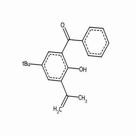 C=C(C)c1cc(C(C)(C)C)cc(C(=O)c2ccccc2)c1O